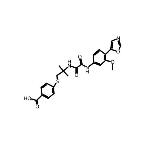 COc1cc(NC(=O)C(=O)NC(C)(C)CSc2ccc(C(=O)O)cc2)ccc1-c1cnco1